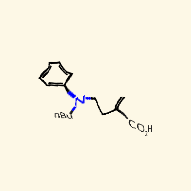 C=C(CCN(CCCC)c1ccccc1)C(=O)O